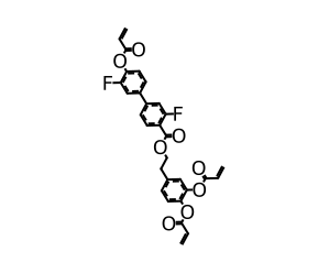 C=CC(=O)Oc1ccc(-c2ccc(C(=O)OCCc3ccc(OC(=O)C=C)c(OC(=O)C=C)c3)c(F)c2)cc1F